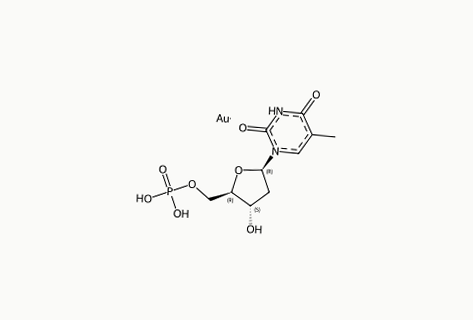 Cc1cn([C@H]2C[C@H](O)[C@@H](COP(=O)(O)O)O2)c(=O)[nH]c1=O.[Au]